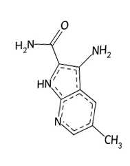 Cc1cnc2[nH]c(C(N)=O)c(N)c2c1